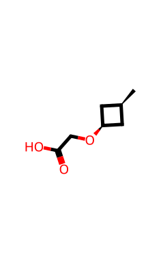 C[C@H]1C[C@@H](OCC(=O)O)C1